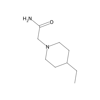 CCC1CCN(CC(N)=O)CC1